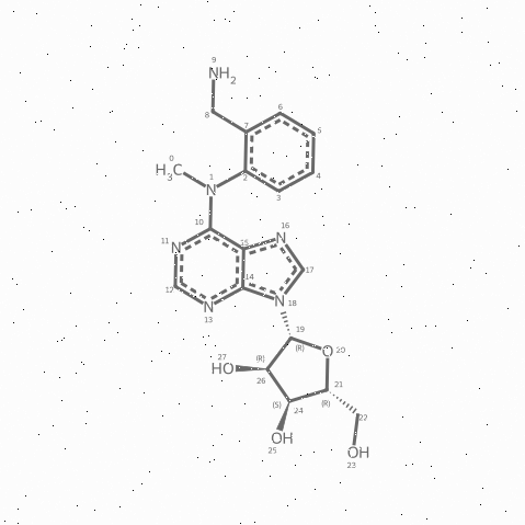 CN(c1ccccc1CN)c1ncnc2c1ncn2[C@@H]1O[C@H](CO)[C@@H](O)[C@H]1O